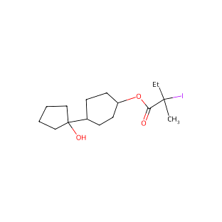 CCC(C)(I)C(=O)OC1CCC(C2(O)CCCC2)CC1